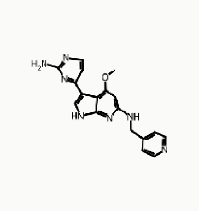 COc1cc(NCc2ccncc2)nc2[nH]cc(-c3ccnc(N)n3)c12